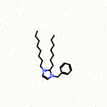 CCCCCCCCN1C=CN(Cc2ccccc2)C1CCCCCCC